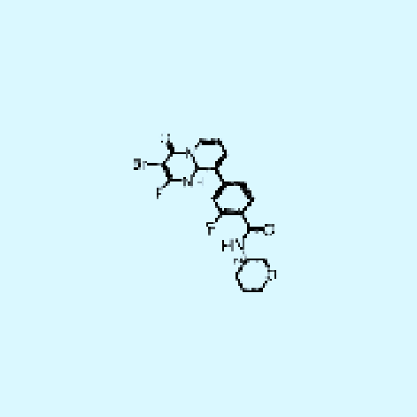 O=C(N[C@H]1CCCOC1)c1ccc(C2=CC=CN3C(=O)C(Br)=C(F)NC23)cc1F